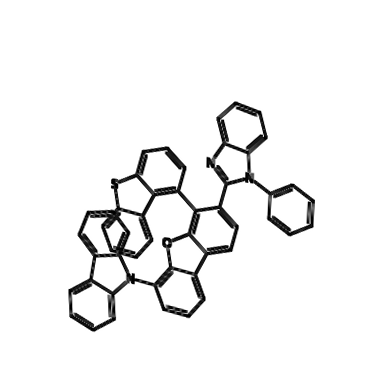 c1ccc(-n2c(-c3ccc4c(oc5c(-n6c7ccccc7c7ccccc76)cccc54)c3-c3cccc4sc5ccccc5c34)nc3ccccc32)cc1